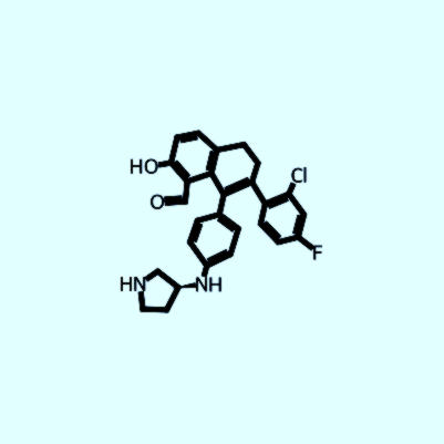 O=Cc1c(O)ccc2c1C(c1ccc(N[C@H]3CCNC3)cc1)=C(c1ccc(F)cc1Cl)CC2